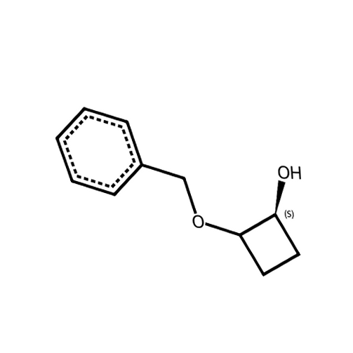 O[C@H]1CCC1OCc1ccccc1